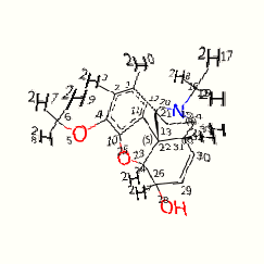 [2H]c1c([2H])c(OC([2H])([2H])[2H])c2c3c1C[C@H]1N(C([2H])([2H])[2H])CC[C@@]34C([2H])(O2)C([2H])(O)C=C[C@@]14[2H]